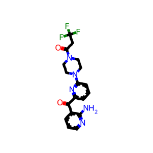 Nc1ncccc1C(=O)c1cccc(N2CCN(C(=O)CC(F)(F)F)CC2)n1